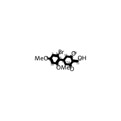 COc1cc(Br)c(C2CC(=O)C(=CO)C(=O)C2)c(OC)c1